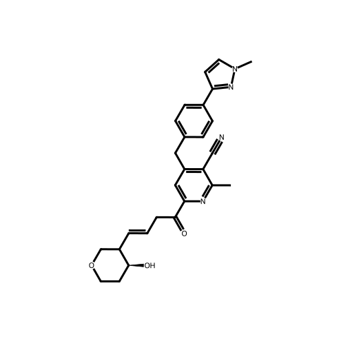 Cc1nc(C(=O)C/C=C/C2COCC[C@@H]2O)cc(Cc2ccc(-c3ccn(C)n3)cc2)c1C#N